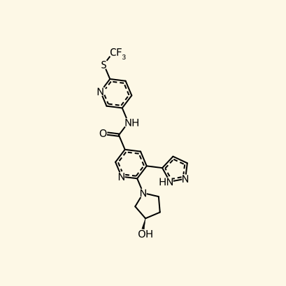 O=C(Nc1ccc(SC(F)(F)F)nc1)c1cnc(N2CC[C@@H](O)C2)c(-c2ccn[nH]2)c1